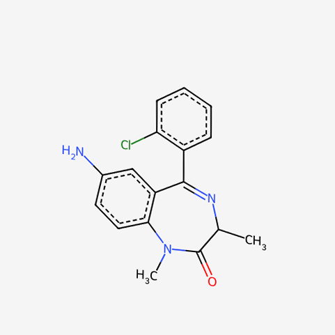 CC1N=C(c2ccccc2Cl)c2cc(N)ccc2N(C)C1=O